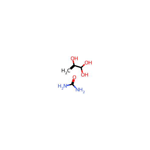 C=C(O)C(O)O.NC(N)=O